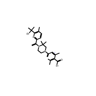 C=C(/C=C(/C)C(C(=O)CC)=C(C)C)N1CCN(C(=C)c2ccc(C)c(C(C)(C)CC)n2)C(C)(C)C1